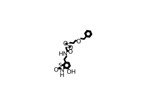 O=C(CS(=O)(=O)CCCOCCc1ccccc1)NCCc1ccc(O)c2[nH]c(=O)sc12